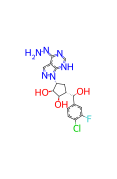 N/N=c1/nc[nH]c2c1cnn2[C@@H]1C[C@H](C(O)c2ccc(Cl)c(F)c2)[C@@H](O)[C@H]1O